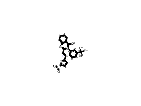 O=c1c2ccccc2nc(/C=C/c2ccc([N+](=O)[O-])o2)n1-c1cccc(C(F)(F)F)c1